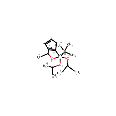 CC(C)[O][Hf]([O]C(C)C)([O]C(C)C)([C]1=CC=CC1)[Si](C)(C)C